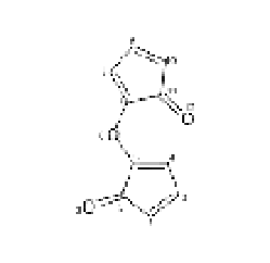 O=C1C=CC=C1OC1=CC=CC1=O